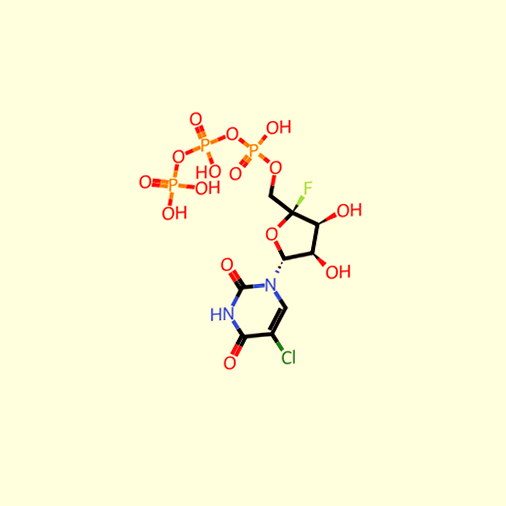 O=c1[nH]c(=O)n([C@@H]2O[C@](F)(COP(=O)(O)OP(=O)(O)OP(=O)(O)O)[C@@H](O)[C@H]2O)cc1Cl